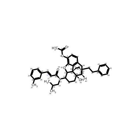 CC(=O)Oc1ccc2c3c1OC1C(N(CC(C)C)C(=O)/C=C/c4cccc(C)c4)CC[C@@]4(O)[C@@H](C2)N(CCc2ccccc2)CC[C@]314